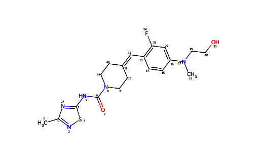 Cc1nsc(NC(=O)N2CCC(=Cc3ccc(N(C)CCO)cc3F)CC2)n1